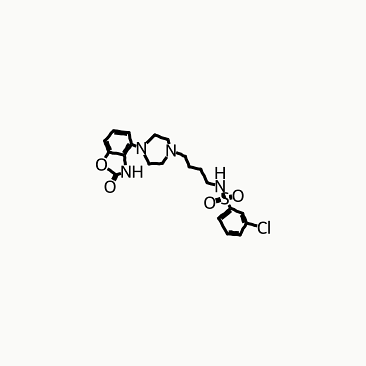 O=c1[nH]c2c(N3CCN(CCCCNS(=O)(=O)c4cccc(Cl)c4)CC3)cccc2o1